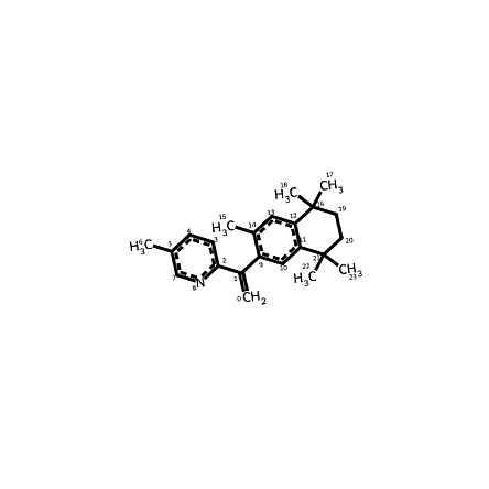 C=C(c1ccc(C)cn1)c1cc2c(cc1C)C(C)(C)CCC2(C)C